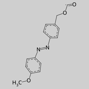 COc1ccc(/N=N/c2ccc(CO[C]=O)cc2)cc1